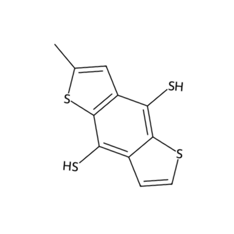 Cc1cc2c(S)c3sccc3c(S)c2s1